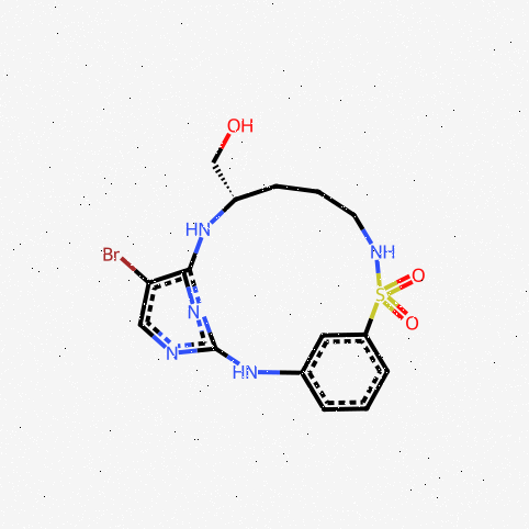 O=S1(=O)NCCC[C@@H](CO)Nc2nc(ncc2Br)Nc2cccc1c2